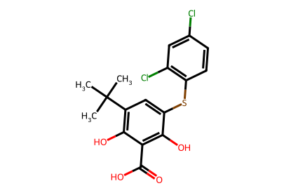 CC(C)(C)c1cc(Sc2ccc(Cl)cc2Cl)c(O)c(C(=O)O)c1O